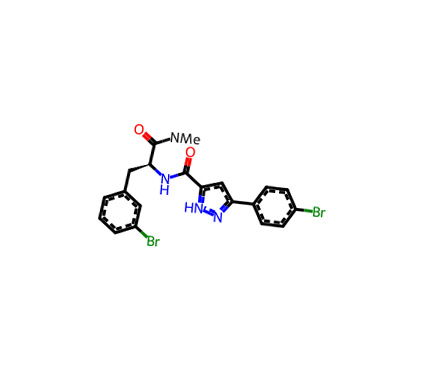 CNC(=O)[C@H](Cc1cccc(Br)c1)NC(=O)c1cc(-c2ccc(Br)cc2)n[nH]1